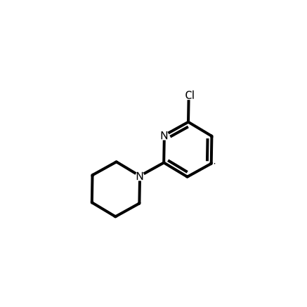 Clc1c[c]cc(N2CCCCC2)n1